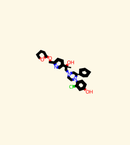 C[C@@](O)(CN1CCN(c2ccc(O)cc2Cl)[C@H](c2ccccc2)C1)c1ccc(COC2CCCCO2)nc1